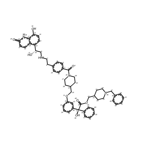 O=C(c1ccc(CCNC[C@H](O)c2ccc(O)c3[nH]c(=O)ccc23)cc1)N1CCC(COc2cccc([C@](O)(C(=O)OCC3CCN(Cc4ccccc4)CC3)c3ccccc3)c2)CC1